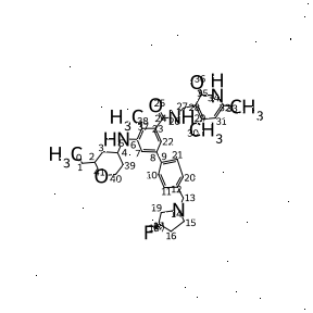 CCC1CC(Nc2cc(-c3ccc(CN4CC[C@@H](F)C4)cc3)cc(C(=O)NCc3c(C)cc(C)[nH]c3=O)c2C)CCO1